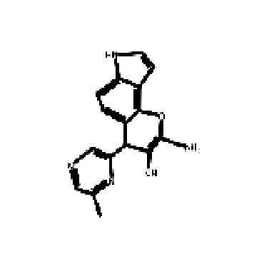 Cc1cncc(C2C(C#N)=C(N)Oc3c2ccc2[nH]ccc32)n1